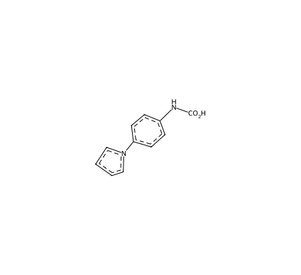 O=C(O)Nc1ccc(-n2cccc2)cc1